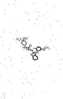 COc1ccc(C[C@@H](NC(=O)N[C@H]2CC[C@@](C)(O)CC2)c2nc3ccccc3[nH]2)cc1